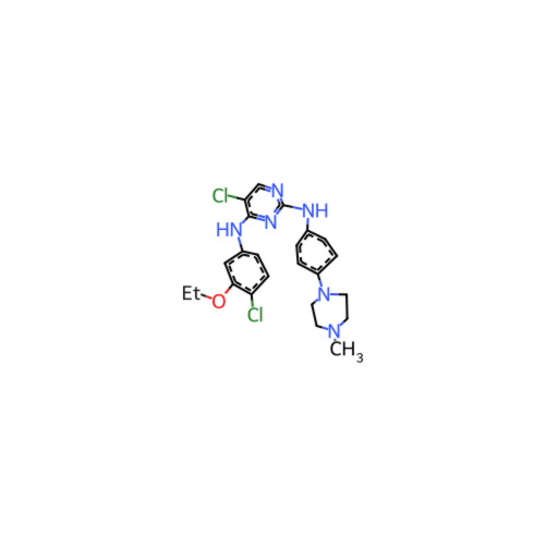 CCOc1cc(Nc2nc(Nc3ccc(N4CCN(C)CC4)cc3)ncc2Cl)ccc1Cl